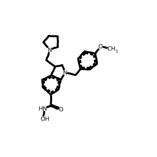 COc1ccc(CN2CC(CN3CCCC3)c3ccc(C(=O)NO)cc32)cc1